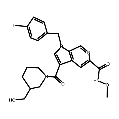 CONC(=O)c1cc2c(C(=O)N3CCCC(CO)C3)cn(Cc3ccc(F)cc3)c2cn1